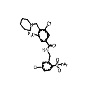 CCCS(=O)(=O)c1ccc(Cl)cc1CNC(=O)c1cc(Cl)c(CN2CCCCC2)c(C(F)(F)F)c1